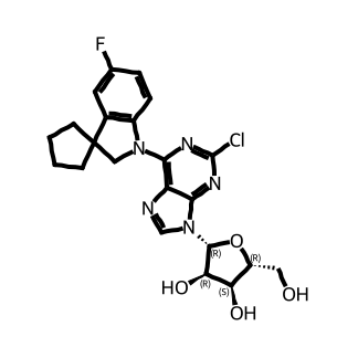 OC[C@H]1O[C@@H](n2cnc3c(N4CC5(CCCC5)c5cc(F)ccc54)nc(Cl)nc32)[C@H](O)[C@@H]1O